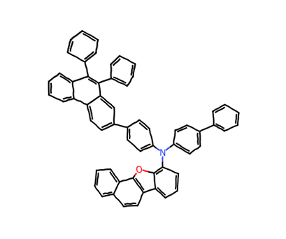 c1ccc(-c2ccc(N(c3ccc(-c4ccc5c(c4)c(-c4ccccc4)c(-c4ccccc4)c4ccccc45)cc3)c3cccc4c3oc3c5ccccc5ccc43)cc2)cc1